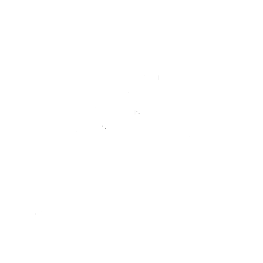 O=C(Nc1cc(-c2ccccc2)ccc1O)c1cc(Cl)ccc1NS(=O)(=O)c1ccc(Cl)cc1